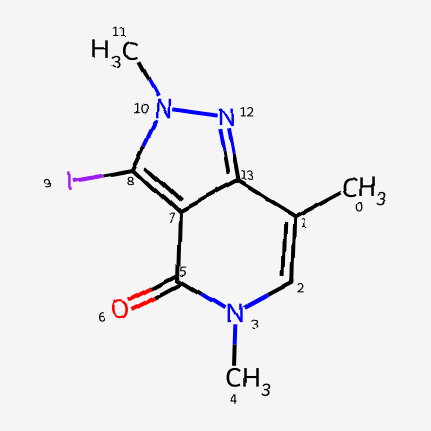 Cc1cn(C)c(=O)c2c(I)n(C)nc12